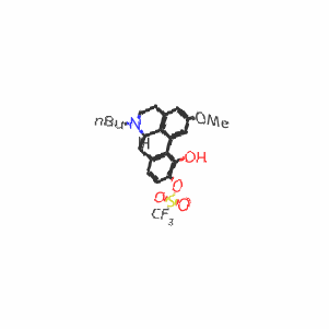 CCCCN1CCc2cc(OC)cc3c2[C@H]1Cc1ccc(OS(=O)(=O)C(F)(F)F)c(O)c1-3